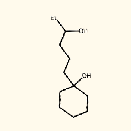 CCC(O)CCCC1(O)CCCCC1